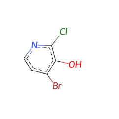 Oc1c(Br)ccnc1Cl